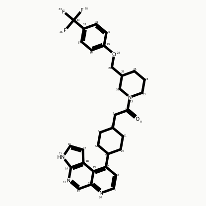 O=C(CC1CCC(c2ccnc3cnc4[nH]ccc4c23)CC1)N1CCCC(COc2ccc(C(F)(F)F)cc2)C1